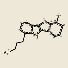 CCCCc1cccc2c1[nH]c1c2nc2c(Cl)cccn21